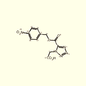 O=C(O)Cn1nnnc1C(=O)OCc1ccc([N+](=O)[O-])cc1